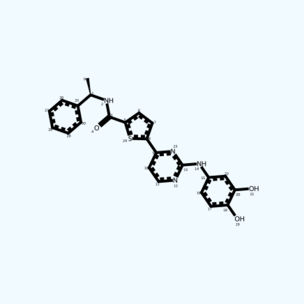 C[C@@H](NC(=O)c1ccc(-c2ccnc(Nc3ccc(O)c(O)c3)n2)s1)c1ccccc1